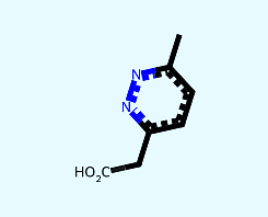 Cc1ccc(CC(=O)O)nn1